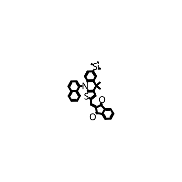 CC1(C)c2cc([Si](C)(C)C)ccc2N(c2cccc3ccccc23)c2sc(C=C3C(=O)c4ccccc4C3=O)cc21